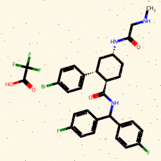 CNCC(=O)N[C@@H]1CC[C@@H](C(=O)NC(c2ccc(F)cc2)c2ccc(F)cc2)[C@H](c2ccc(Br)cc2)C1.O=C(O)C(F)(F)F